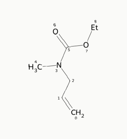 C=CCN(C)C(=O)OCC